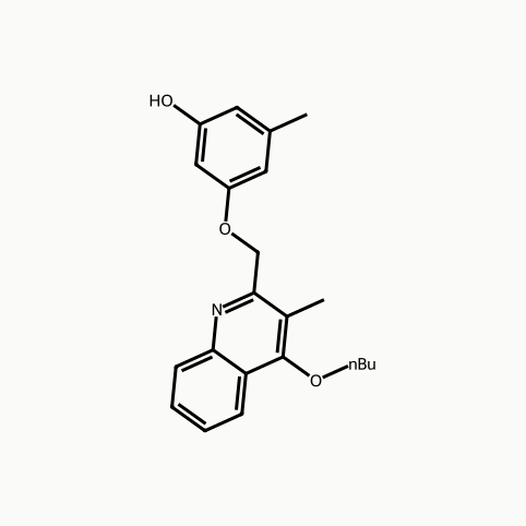 CCCCOc1c(C)c(COc2cc(C)cc(O)c2)nc2ccccc12